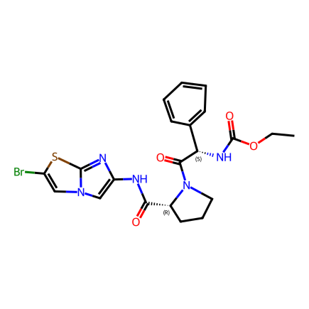 CCOC(=O)N[C@H](C(=O)N1CCC[C@@H]1C(=O)Nc1cn2cc(Br)sc2n1)c1ccccc1